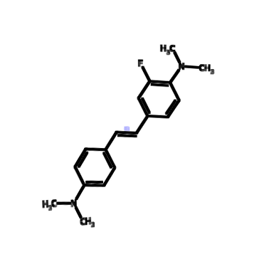 CN(C)c1ccc(/C=C/c2ccc(N(C)C)c(F)c2)cc1